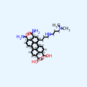 CN(C)CCCNCCCc1cc(C(N)=O)c2c(C(N)=O)ccc3c4ccc(C(=O)O)c5c(C(=O)O)ccc(c1c23)c54